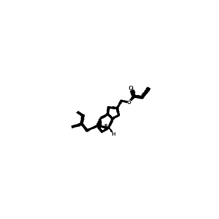 C=CC(=O)OCC1CC2C3C[C@@H](CC3CC(C)CC)C2C1